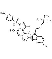 Cc1ccc(S(=O)(=O)n2cc3c4c(c(C)cc(C)c42)C(O)(c2nc4cc(C#N)ccc4n2COCC[Si](C)(C)C)CC3)cc1